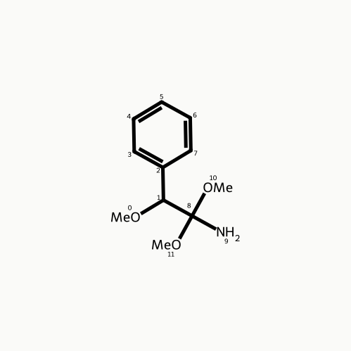 COC(c1ccccc1)C(N)(OC)OC